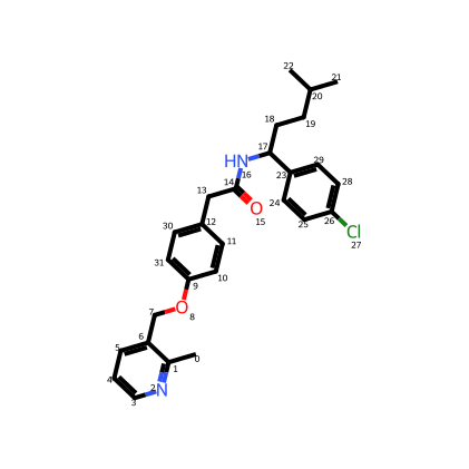 Cc1ncccc1COc1ccc(CC(=O)NC(CCC(C)C)c2ccc(Cl)cc2)cc1